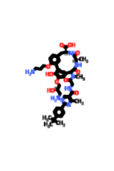 Cc1nc(-c2ccc(C(C)(C)C)cc2)ncc1C(=O)NCC(=O)N(C)[C@@H]1C(=O)N[C@@H](C)C(=O)N[C@H](C(=O)O)Cc2ccc(OCCCN)c(c2)-c2cc1cc(OC[C@H](O)CN)c2O